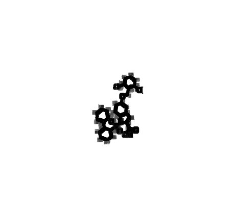 O=C(O)c1cc2cc(OCc3c(Cl)cccc3Cl)ccc2n1S(=O)(=O)c1ccccc1-c1ccccc1